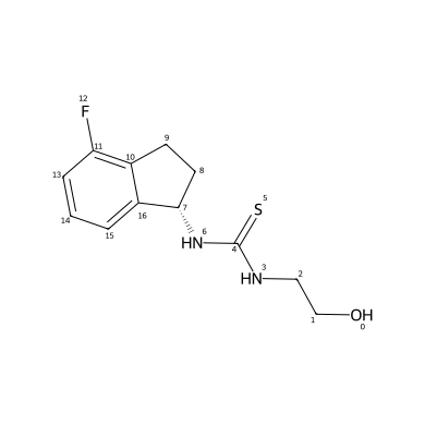 OCCNC(=S)N[C@H]1CCc2c(F)cccc21